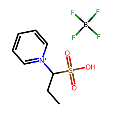 CCC([n+]1ccccc1)S(=O)(=O)O.F[B-](F)(F)F